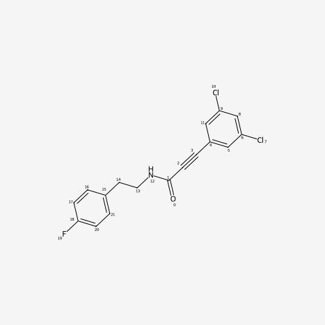 O=C(C#Cc1cc(Cl)cc(Cl)c1)NCCc1ccc(F)cc1